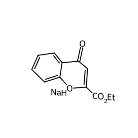 CCOC(=O)c1cc(=O)c2ccccc2o1.[NaH]